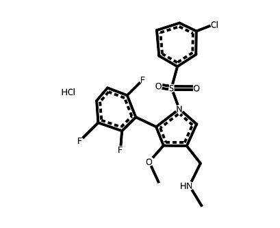 CNCc1cn(S(=O)(=O)c2cccc(Cl)c2)c(-c2c(F)ccc(F)c2F)c1OC.Cl